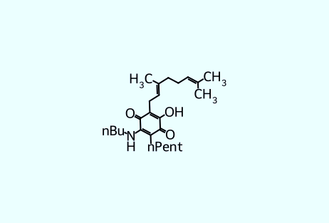 CCCCCC1=C(NCCCC)C(=O)C(C/C=C(\C)CCC=C(C)C)=C(O)C1=O